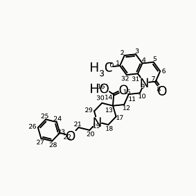 Cc1ccc2ccc(=O)n(CCCC3(C(=O)O)CCN(CCOc4ccccc4)CC3)c2c1